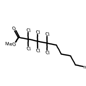 CCCCCCCCCCCCCCC(Cl)(Cl)C(Cl)(Cl)C(Cl)(Cl)C(=O)OC